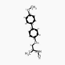 COc1ccc(-c2ccc(OCC(C)NCl)cc2)cc1